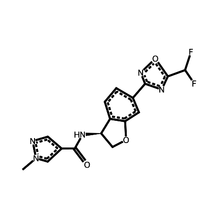 Cn1cc(C(=O)N[C@@H]2COc3cc(-c4noc(C(F)F)n4)ccc32)cn1